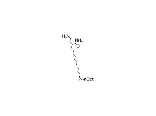 CCCCCCCC/C=C\CCCCCCCCCCC(CCN)C(N)=O